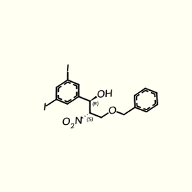 O=[N+]([O-])[C@@H](COCc1ccccc1)[C@H](O)c1cc(I)cc(I)c1